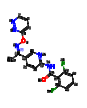 CC/C(=N/Oc1cccnn1)c1ccc(NC(=O)c2c(F)cccc2F)nc1